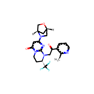 Cc1ncccc1C(=O)CN1c2nc(N3C[C@@H]4C[C@H]3CO4)cc(=O)n2CC[C@H]1C(F)(F)F